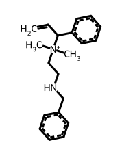 C=CC(c1ccccc1)[N+](C)(C)CCNCc1ccccc1